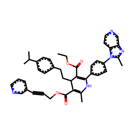 CCOC(=O)C1=C(c2ccc(-n3c(C)nc4cnccc43)cc2)NC(C)=C(C(=O)OCC#Cc2cccnc2)C1CCc1ccc(C(C)C)cc1